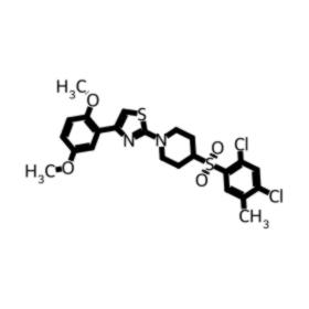 COc1ccc(OC)c(-c2csc(N3CCC(S(=O)(=O)c4cc(C)c(Cl)cc4Cl)CC3)n2)c1